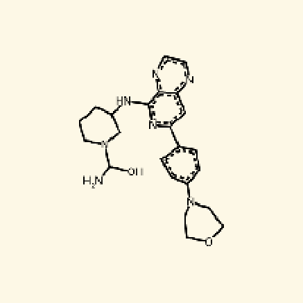 NC(O)N1CCCC(Nc2nc(-c3ccc(N4CCOCC4)cc3)cc3nccnc23)C1